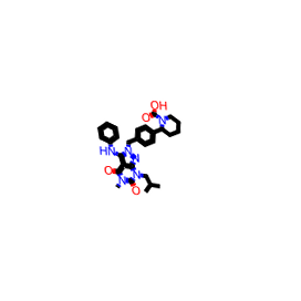 CC(C)Cn1c(=O)n(C)c(=O)c2c(Nc3ccccc3)n(Cc3ccc(C4CCCCN4C(=O)O)cc3)nc21